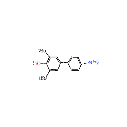 CC(C)(C)c1cc(-c2ccc(N)cc2)cc(C(C)(C)C)c1O